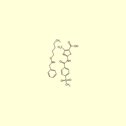 CCCCCONCc1ccccc1.Cc1nc(NC(=O)c2ccc(S(C)(=O)=O)cc2)sc1C(=O)O